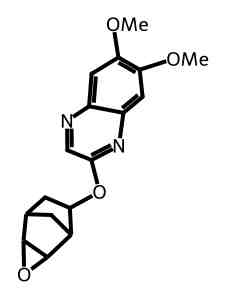 COc1cc2ncc(OC3CC4CC3C3OC43)nc2cc1OC